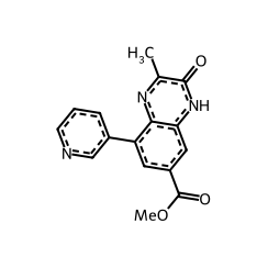 COC(=O)c1cc(-c2cccnc2)c2nc(C)c(=O)[nH]c2c1